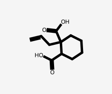 C=CCC1(C(=O)O)CCCCC1C(=O)O